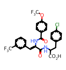 O=C(NC(Cc1ccc(Cl)cc1)C(=O)O)C(=Cc1cccc(C(F)(F)F)c1)NC(=O)c1ccc(OC(F)(F)F)cc1